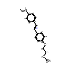 CNc1ccc(/C=C/c2ccc(OCCOC(C)(C)C)cc2)cc1